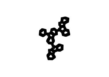 c1ccc(-n2c3ccc(-n4c5ccccc5c5c6ccccc6sc54)cc3c3cc(-n4c5ccccc5c5c6ccccc6sc54)ccc32)cc1